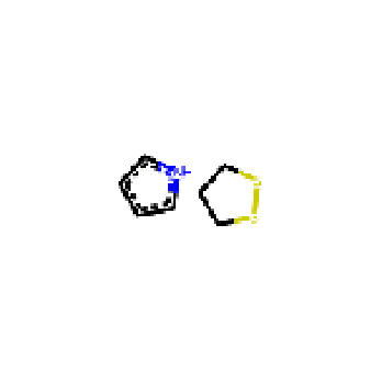 C1CSSC1.c1cc[nH]c1